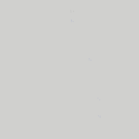 CCn1c2ccccc2c2cc(CNCc3ccc4ccc(N)nc4c3)ccc21